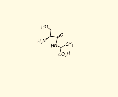 CC(NC(=O)[C@@H](N)CO)C(=O)O